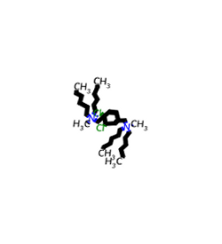 CCCCCC[N+](C)(CCCCCC)CC1=CC(Cl)C(Cl)(C[N+](C)(CCCCCC)CCCCCC)C=C1